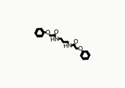 O=C(COc1ccccc1)NCCCNC(=O)COc1ccccc1